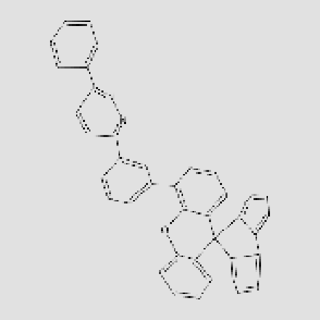 c1ccc(-c2ccc(-c3cccc(-c4cccc5c4Oc4ccccc4C54c5ccccc5-c5ccccc54)c3)nn2)cc1